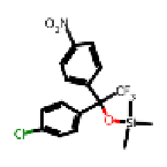 C[Si](C)(C)OC(c1ccc(Cl)cc1)(c1ccc([N+](=O)[O-])cc1)C(F)(F)F